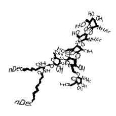 CCCCCCCCCCCCC/C=C/[C@@H](O)[C@H](CO[C@@H]1OC(CO)[C@@H](O[C@@H]2OC(CO[C@@H]3OC(CO)[C@@H](O)[C@H](O)C3NC(C)=O)[C@H](O)[C@H](O[C@H]3OC(CO)[C@H](O)[C@H](O[C@@H]4OC(CO)[C@H](O)[C@H](O[C@H]5OC(CO)[C@H](O)[C@H](O)C5NC(C)=O)C4NC(C)=O)C3O)C2O)[C@H](O)C1O)NC(=O)CCCCCCCCCCCCCCCCC